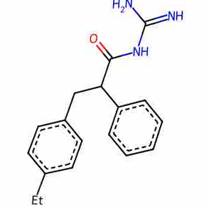 CCc1ccc(CC(C(=O)NC(=N)N)c2ccccc2)cc1